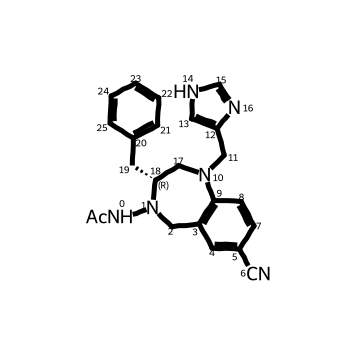 CC(=O)NN1Cc2cc(C#N)ccc2N(Cc2c[nH]cn2)C[C@H]1Cc1ccccc1